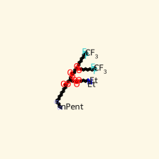 CCCCC/C=C\C/C=C\CCCCCCCC(=O)OCC(COC(=O)CCC(OCCCCCCC(F)(F)C(F)(F)F)OCCCCCCC(F)(F)C(F)(F)F)COC(=O)OCCCCN(CC)CC